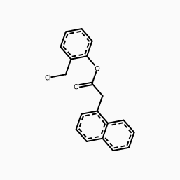 O=C(Cc1cccc2ccccc12)Oc1ccccc1CCl